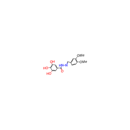 COc1ccc(/C=N/NC(=O)c2cc(O)c(O)c(O)c2)cc1OC